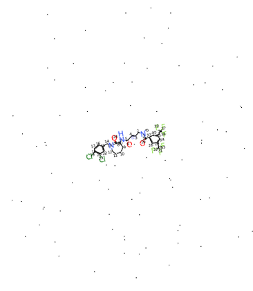 CN(C/C=C/C(=O)N[C@@H]1CCCCN(Cc2ccc(Cl)c(Cl)c2)C1=O)C(=O)c1cc(C(F)(F)F)cc(C(F)(F)F)c1